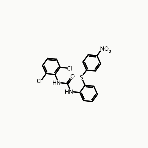 O=C(Nc1ccccc1Sc1ccc([N+](=O)[O-])cc1)Nc1c(Cl)cccc1Cl